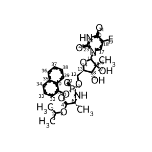 CC(C)OC(=O)[C@@H](C)N[P@](=O)(OC[C@H]1O[C@@H](n2cc(F)c(=O)[nH]c2=O)[C@](C)(O)[C@@H]1O)Oc1cccc2ccccc12